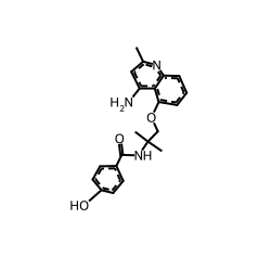 Cc1cc(N)c2c(OCC(C)(C)NC(=O)c3ccc(O)cc3)cccc2n1